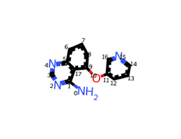 Nc1ncnc2cccc(Oc3cccnc3)c12